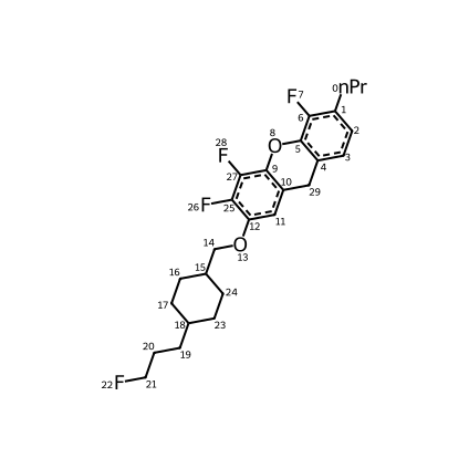 CCCc1ccc2c(c1F)Oc1c(cc(OCC3CCC(CCCF)CC3)c(F)c1F)C2